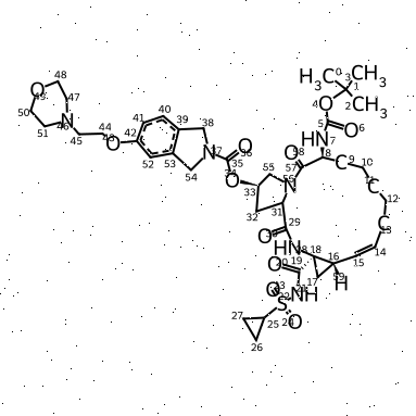 CC(C)(C)OC(=O)N[C@H]1CCCCC/C=C\[C@@H]2C[C@@]2(C(=O)NS(=O)(=O)C2CC2)NC(=O)C2C[C@@H](OC(=O)N3Cc4ccc(OCCN5CCOCC5)cc4C3)CN2C1=O